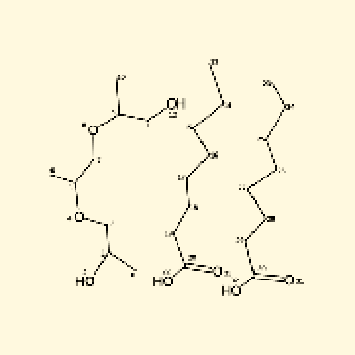 CC(O)COC(C)COC(C)CO.CCCCCCCC(=O)O.CCCCCCCC(=O)O